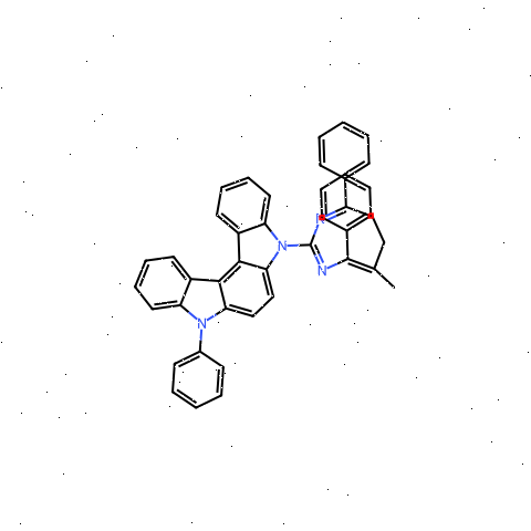 C\C1=C(c2ccccc2)/N=C(n2c3ccccc3c3c4c5ccccc5n(-c5ccccc5)c4ccc32)\N=C(\c2ccccc2)CC1